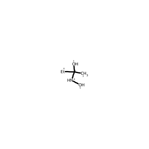 CCC(C)(O)NO